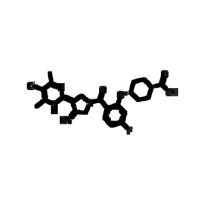 CC1=N/C(=C2\CN(C(=O)c3ccc(F)cc3O[C@H]3CC[C@H](C(=O)O)CC3)CC2=N)NC(C)=C1Cl